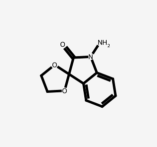 NN1C(=O)C2(OCCO2)c2ccccc21